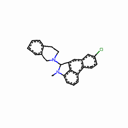 CN1c2cccc3c2c(cc2cc(Cl)ccc23)C1N1CCc2ccccc2C1